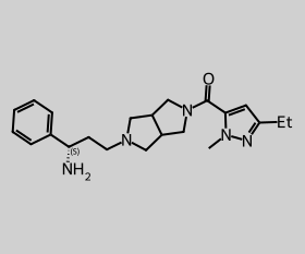 CCc1cc(C(=O)N2CC3CN(CC[C@H](N)c4ccccc4)CC3C2)n(C)n1